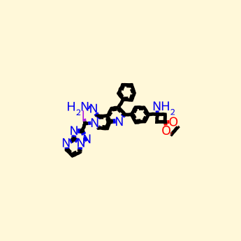 N/N=c1/c2cc(-c3ccccc3)c(-c3ccc(C4(N)CC5(C4)OCCO5)cc3)nc2ccn1C(I)c1nc2ncccn2n1